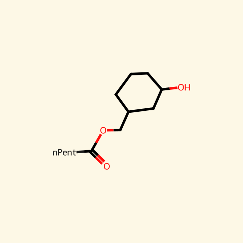 CCCCCC(=O)OCC1CCCC(O)C1